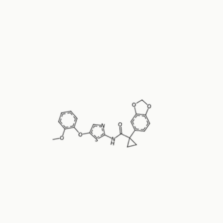 COc1ccccc1Oc1cnc(NC(=O)C2(c3ccc4c(c3)OCO4)CC2)s1